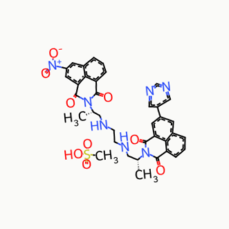 CS(=O)(=O)O.C[C@H](CNCCNC[C@H](C)N1C(=O)c2cccc3cc([N+](=O)[O-])cc(c23)C1=O)N1C(=O)c2cccc3cc(-c4cncnc4)cc(c23)C1=O